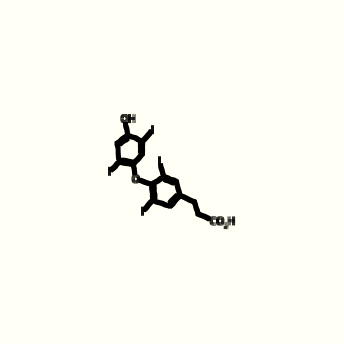 O=C(O)CCc1cc(I)c(Oc2cc(I)c(O)cc2I)c(I)c1